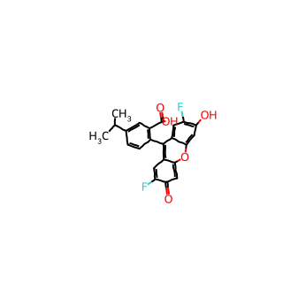 CC(C)c1ccc(-c2c3cc(F)c(=O)cc-3oc3cc(O)c(F)cc23)c(C(=O)O)c1